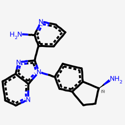 Nc1ncccc1-c1nc2cccnc2n1-c1ccc2c(c1)CC[C@@H]2N